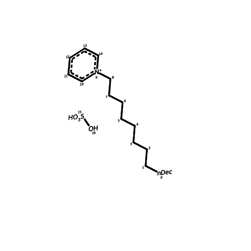 CCCCCCCCCCCCCCCCCC[n+]1ccccc1.O=S(=O)(O)O